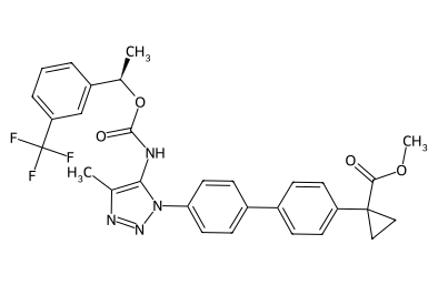 COC(=O)C1(c2ccc(-c3ccc(-n4nnc(C)c4NC(=O)O[C@H](C)c4cccc(C(F)(F)F)c4)cc3)cc2)CC1